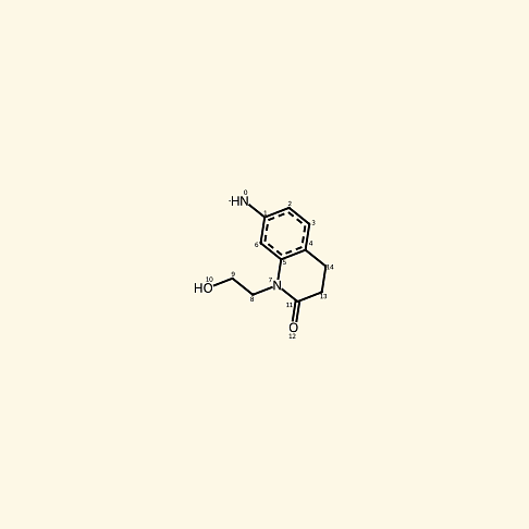 [NH]c1ccc2c(c1)N(CCO)C(=O)CC2